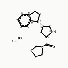 Cl.Cl.O=C([C@@H]1C[C@H](N2CCc3ccccc32)CN1)N1CCSC1